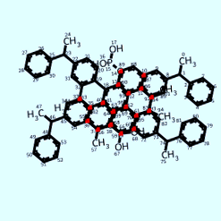 CC(c1ccccc1)c1ccc(-c2c(OP(O)O)c(-c3ccc(C(C)c4ccccc4)cc3C(C)c3ccccc3)c(-c3ccc(C(C)c4ccccc4)cc3C(C)c3ccccc3)c(OP(O)O)c2-c2ccc(C(C)c3ccccc3)cc2C(C)c2ccccc2)c(C(C)c2ccccc2)c1